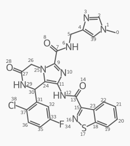 Cn1cnc(CNC(=O)c2nc(NC(=O)c3nsc4ccccc34)c3n2CC(=O)NC3c2cc(F)ccc2Cl)c1